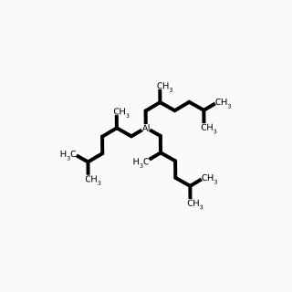 CC(C)CCC(C)[CH2][Al]([CH2]C(C)CCC(C)C)[CH2]C(C)CCC(C)C